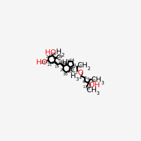 C=C(COCCCC(O)(CC)CC)[C@H]1CC[C@H]2/C(=C/C=C3/C[C@@H](O)C[C@H](O)C3=C)CCC[C@]12C